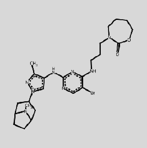 Cc1nn(C2CC3CCC(C2)N3C)cc1Nc1ncc(Br)c(NCCCN2CCCCOC2=O)n1